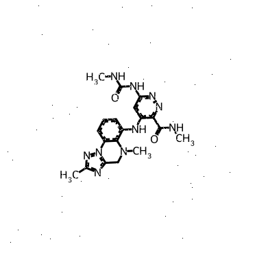 CNC(=O)Nc1cc(Nc2cccc3c2N(C)Cc2nc(C)nn2-3)c(C(=O)NC)nn1